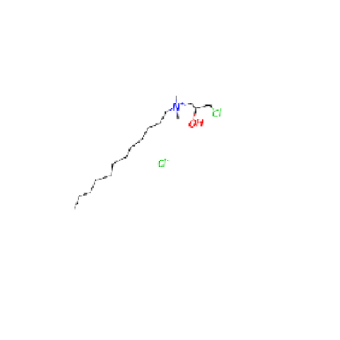 CCCCCCCCCCCC[N+](C)(C)CC(O)CCl.[Cl-]